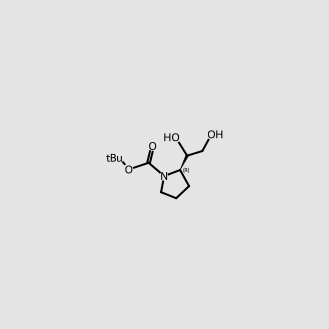 CC(C)(C)OC(=O)N1CCC[C@@H]1C(O)CO